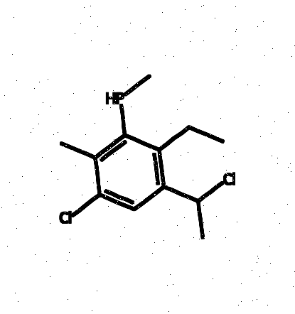 CCc1c(C(C)Cl)cc(Cl)c(C)c1PC